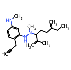 C#CCc1ccc(NC)cc1NN(C)C(CCC(=C)CC)C(=C)C